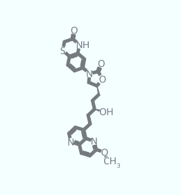 COc1ccc2nccc(CC[C@H](O)CC[C@H]3CN(c4ccc5c(c4)NC(=O)CS5)C(=O)O3)c2n1